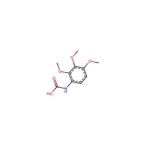 COc1ccc(NC(=O)O)c(OC)c1OC